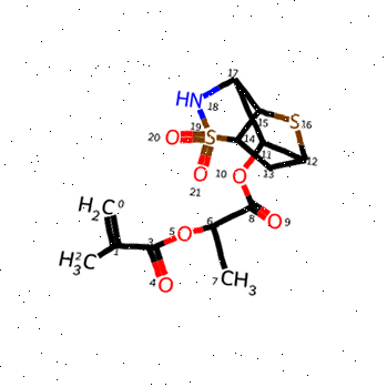 C=C(C)C(=O)OC(C)C(=O)OC1C2CC3C(S2)C1NS3(=O)=O